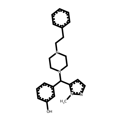 Cn1nccc1C(c1cccc(O)c1)N1CCN(CCc2ccccc2)CC1